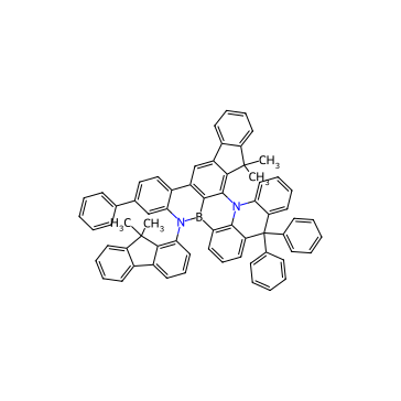 CC1(C)c2ccccc2-c2cccc(N3B4c5cccc6c5N(c5ccccc5C6(c5ccccc5)c5ccccc5)c5c4c(cc4c5C(C)(C)c5ccccc5-4)-c4ccc(-c5ccccc5)cc43)c21